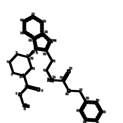 CC(C)(C)OC(=O)N1CCC[C@@H](n2c(CCNC(=O)OCc3ccccc3)nc3ccccc32)C1